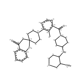 COC1COCCC1NC1CCN(C(=O)c2ncnc(N3CCC4(CC3)CC(=O)c3ccccc3O4)c2C)CC1